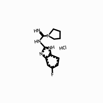 Cl.N=C(Nc1nc2cc(F)ccc2[nH]1)N1CCCC1